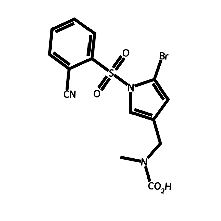 CN(Cc1cc(Br)n(S(=O)(=O)c2ccccc2C#N)c1)C(=O)O